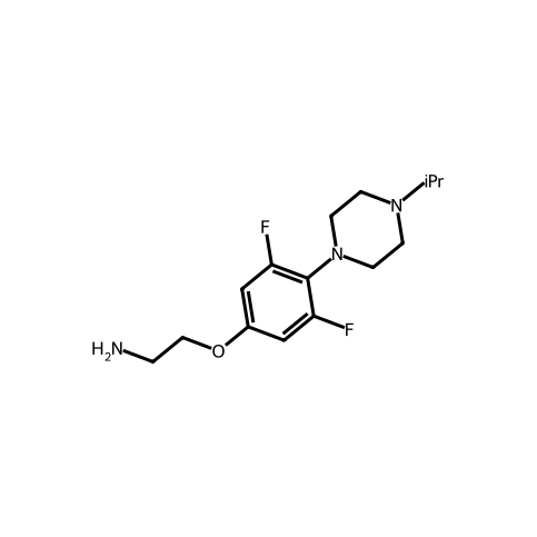 CC(C)N1CCN(c2c(F)cc(OCCN)cc2F)CC1